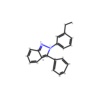 CCc1cccc(-n2nc3ccccc3c2-c2ccccc2)c1